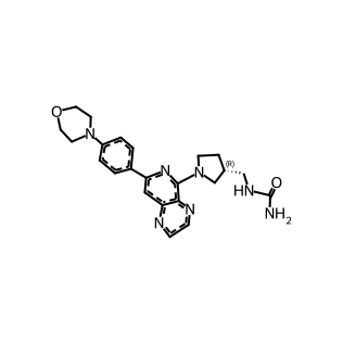 NC(=O)NC[C@H]1CCN(c2nc(-c3ccc(N4CCOCC4)cc3)cc3nccnc23)C1